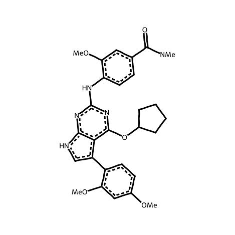 CNC(=O)c1ccc(Nc2nc(OC3CCCC3)c3c(-c4ccc(OC)cc4OC)c[nH]c3n2)c(OC)c1